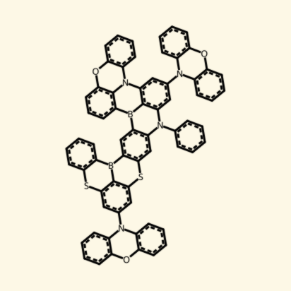 c1ccc(N2c3cc4c(cc3B3c5cccc6c5N(c5ccccc5O6)c5cc(N6c7ccccc7Oc7ccccc76)cc2c53)B2c3ccccc3Sc3cc(N5c6ccccc6Oc6ccccc65)cc(c32)S4)cc1